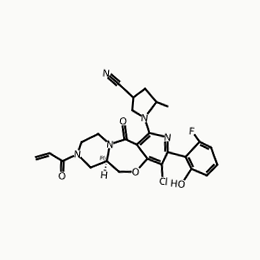 C=CC(=O)N1CCN2C(=O)c3c(N4CC(C#N)CC4C)nc(-c4c(O)cccc4F)c(Cl)c3OC[C@H]2C1